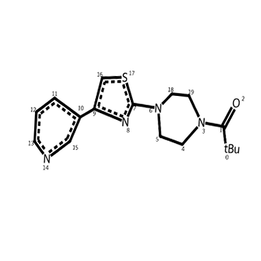 CC(C)(C)C(=O)N1CCN(c2nc(-c3cccnc3)cs2)CC1